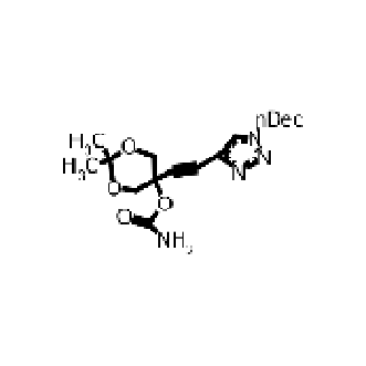 CCCCCCCCCCn1cc(C#CC2(OC(N)=O)COC(C)(C)OC2)nn1